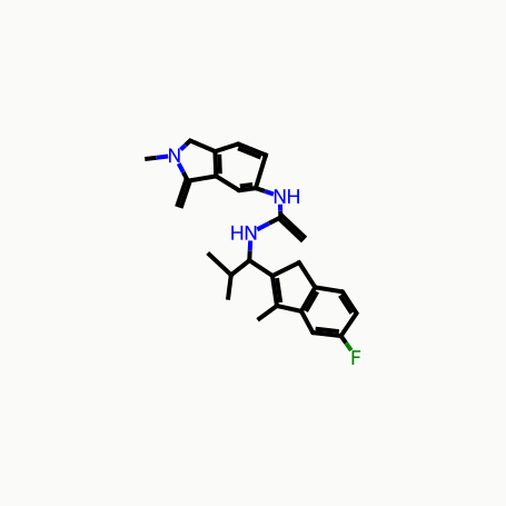 C=C(Nc1ccc2c(c1)C(=C)N(C)C2)NC(C1=C(C)c2cc(F)ccc2C1)C(C)C